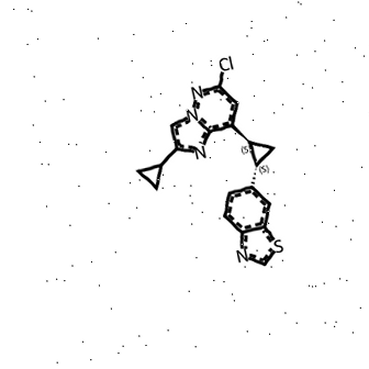 Clc1cc([C@H]2C[C@@H]2c2ccc3ncsc3c2)c2nc(C3CC3)cn2n1